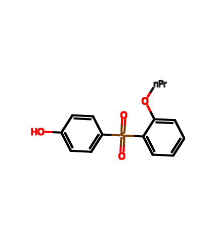 CCCOc1ccccc1S(=O)(=O)c1ccc(O)cc1